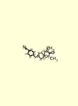 C[C@@H]1OC2(CCN(Cc3ccc(C#N)cc3)CC2)CN(C)C1=O